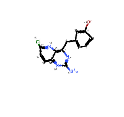 Nc1nc(Cc2cccc(Br)c2)c2nc(Cl)ccc2n1